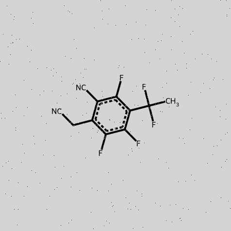 CC(F)(F)c1c(F)c(F)c(CC#N)c(C#N)c1F